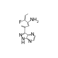 C=C(/C=C(N)\C(F)=C/C)c1n[nH]c2nccnc12